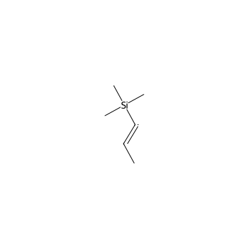 CC=[C][Si](C)(C)C